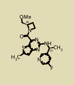 COC[C@H]1CCN1C(=O)c1nc(N[C@@H](C)c2cncc(F)c2)nc2cc(C)sc12